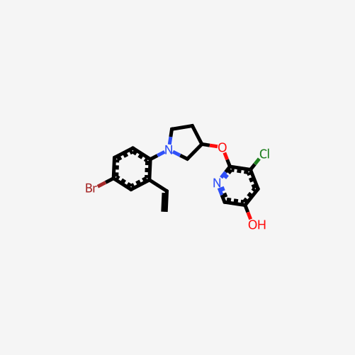 C=Cc1cc(Br)ccc1N1CCC(Oc2ncc(O)cc2Cl)C1